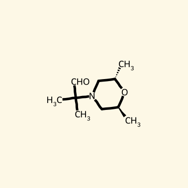 C[C@H]1CN(C(C)(C)C=O)C[C@H](C)O1